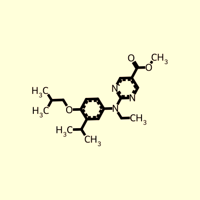 CCN(c1ccc(OCC(C)C)c(C(C)C)c1)c1ncc(C(=O)OC)cn1